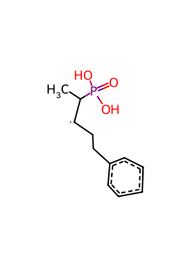 CC([CH]CCc1ccccc1)P(=O)(O)O